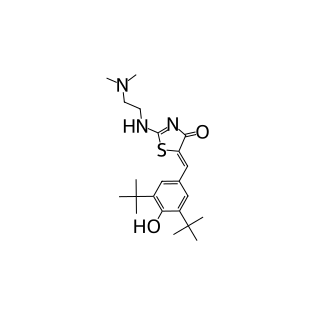 CN(C)CCNC1=NC(=O)/C(=C/c2cc(C(C)(C)C)c(O)c(C(C)(C)C)c2)S1